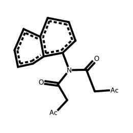 CC(=O)CC(=O)N(C(=O)CC(C)=O)c1cccc2ccccc12